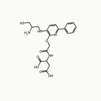 NC(CS)CNc1ccc(-c2ccccc2)nc1OCC(=O)NC(CC(=O)O)C(=O)O